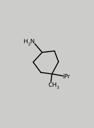 CC(C)C1(C)CCC(N)CC1